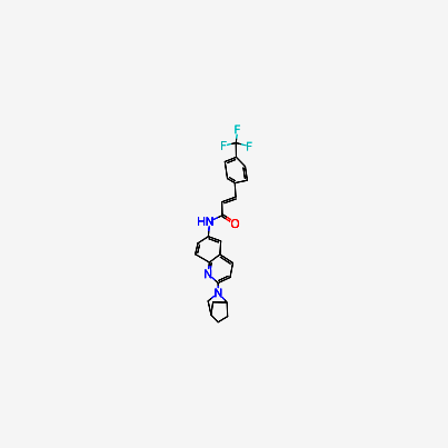 O=C(/C=C/c1ccc(C(F)(F)F)cc1)Nc1ccc2nc(N3CC4CCC3C4)ccc2c1